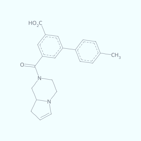 Cc1ccc(-c2cc(C(=O)O)cc(C(=O)N3CCN4C=CCC4C3)c2)cc1